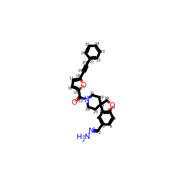 NN=Cc1ccc2c(c1)C1(CCN(C(=O)c3ccc(C#Cc4ccccc4)o3)CC1)CO2